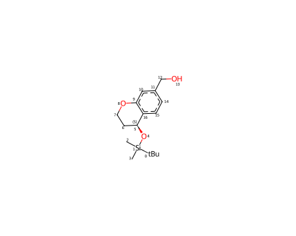 CC(C)(C)[Si](C)(C)O[C@H]1CCOc2cc(CO)ccc21